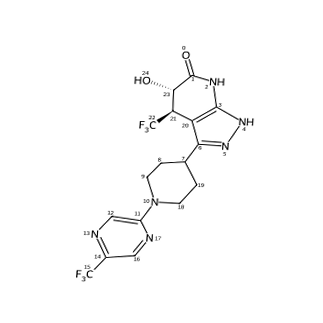 O=C1Nc2[nH]nc(C3CCN(c4cnc(C(F)(F)F)cn4)CC3)c2[C@@H](C(F)(F)F)[C@@H]1O